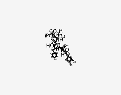 CC[C@H](C)[C@H](NC(=O)CC(O)C(Cc1ccccc1)NC(=O)[C@@H](NC(=O)COc1ccc(C)c(C)c1)C(C)C)C(=O)N[C@H](C(=O)O)C(C)C